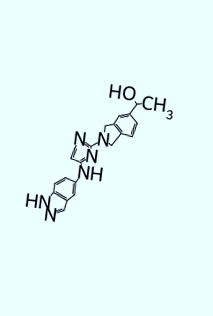 CC(O)c1ccc2c(c1)CN(c1nccc(Nc3ccc4[nH]ncc4c3)n1)C2